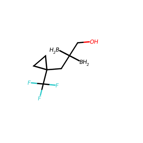 BC(B)(CO)CC1(C(F)(F)F)CC1